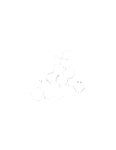 C[C@@H]1Cc2c([nH]c3ccccc23)[C@@H](c2c(F)cc(N[C@H]3CCCCN(CCCF)C3)cc2F)N1CC(F)(F)CO